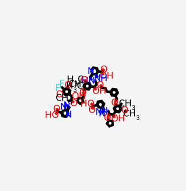 COc1cc(C(O)C(Cn2nnc3c(C(=O)O)cccc32)OC2CCCC2)cc(OCc2cccc(CCCOC(CN/C=C3/N=CC=C(C(=O)O)C3=N)C(O)c3cc(OC)c(C)c(OCC4CCC(OC(Cn5cc6nccc(C(=O)O)c6n5)C(O)c5cc(OC)c(C(F)F)c(OC)c5)C4)c3)c2)c1C